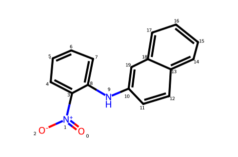 O=[N+]([O-])c1c[c]ccc1Nc1ccc2ccccc2c1